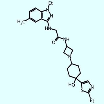 CCc1ncc(C2(O)CCC(N3CC(NC(=O)CNc4nn(CC)c5ccc(C)cc45)C3)CC2)s1